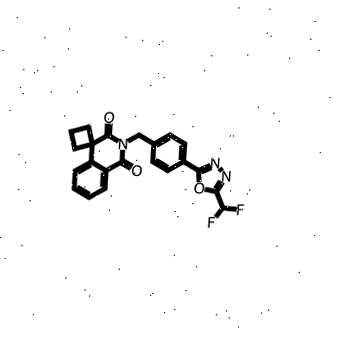 O=C1c2ccccc2C2(CCC2)C(=O)N1Cc1ccc(-c2nnc(C(F)F)o2)cc1